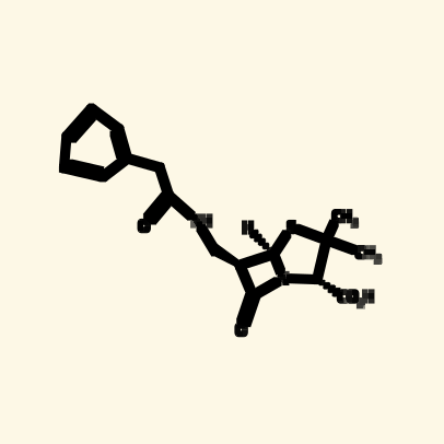 CC1(C)S[C@@H]2[C@H](CNC(=O)Cc3ccccc3)C(=O)N2[C@H]1C(=O)O